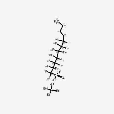 CC[N+](CC)(CC)CC.O=S(=O)([O-])C(F)(F)C(F)(F)C(F)(F)C(F)(F)C(F)(F)C(F)(F)C(F)(F)CCCC(F)(F)F